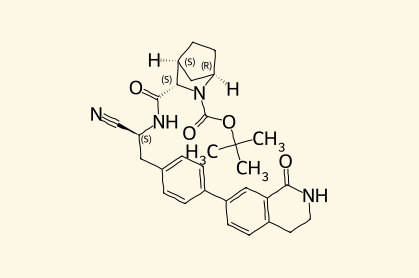 CC(C)(C)OC(=O)N1[C@@H]2CC[C@@H](C2)[C@H]1C(=O)N[C@H](C#N)Cc1ccc(-c2ccc3c(c2)C(=O)NCC3)cc1